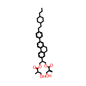 C=C(CO)C(=O)OCC(COC(=O)C(C)CO)c1ccc2c(c1)CCc1cc(-c3ccc(CCC4CCC(CCC)CC4)cc3)ccc1-2